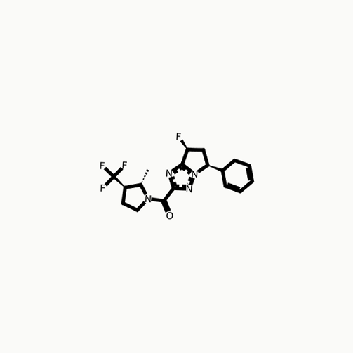 C[C@H]1[C@H](C(F)(F)F)CCN1C(=O)c1nc2n(n1)[C@H](C1C=CC=CC1)C[C@@H]2F